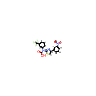 O=C(O)N(c1cccc(C(F)(F)F)c1)c1nc(-c2cccc([N+](=O)[O-])c2)cs1